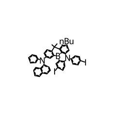 CCCCc1ccc2c3c1C(C)(C)c1ccc(N(c4ccccc4)c4cccc5ccccc45)cc1B3c1cc(I)ccc1N2c1ccc(I)cc1